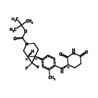 Cc1cc([C@]23CCN(C(=O)OC(C)(C)C)C[C@H]2C3(F)F)ccc1N[C@@H]1CCC(=O)NC1=O